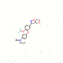 CC(C)(C)N(C(=O)O)c1ccc(Oc2cc(C3=NOC4(CCOC4)C3)ccc2OC(F)F)cc1